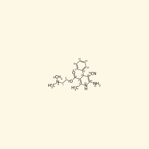 CC1=C(C(=O)OCCN(C)C)C(c2ccccc2)C(C#N)=C(N)N1